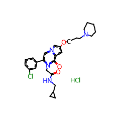 Cl.O=C(Cn1c(-c2cccc(Cl)c2)cn2cc(OCCCN3CCCCC3)cc2c1=O)NCC1CC1